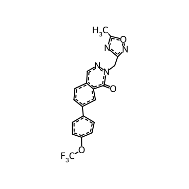 Cc1nc(Cn2ncc3ccc(-c4ccc(OC(F)(F)F)cc4)cc3c2=O)no1